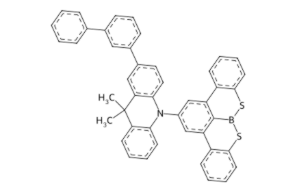 CC1(C)c2ccccc2N(c2cc3c4c(c2)-c2ccccc2SB4Sc2ccccc2-3)c2ccc(-c3cccc(-c4ccccc4)c3)cc21